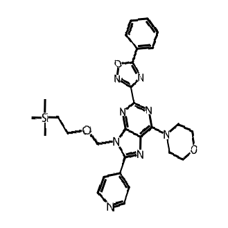 C[Si](C)(C)CCOCn1c(-c2ccncc2)nc2c(N3CCOCC3)nc(-c3noc(-c4ccccc4)n3)nc21